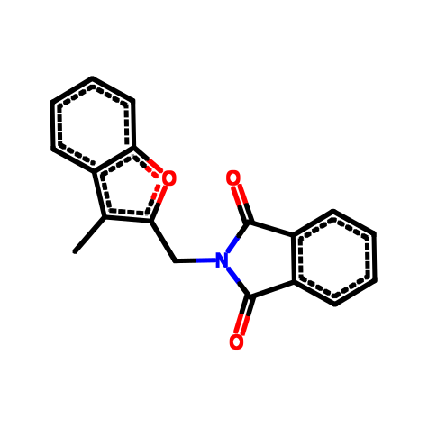 Cc1c(CN2C(=O)c3ccccc3C2=O)oc2ccccc12